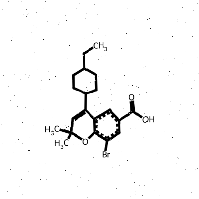 CCC1CCC(C2=CC(C)(C)Oc3c(Br)cc(C(=O)O)cc32)CC1